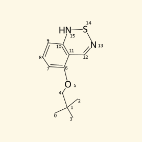 CC(C)(C)COc1cccc2c1C=NSN2